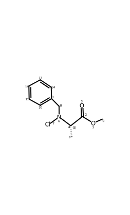 COC(=O)[C@H](C)N(Cl)Cc1ccccc1